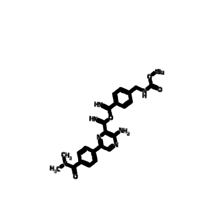 CN(C)C(=O)c1ccc(-c2cnc(N)c(C(=N)OC(=N)c3ccc(CNC(=O)OC(C)(C)C)cc3)n2)cc1